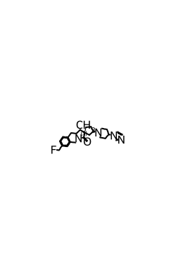 CC1C2Cc3ccc(CF)cc3CN2C(=O)[C@]12CCC(N1CCC(n3ccnc3)CC1)C2